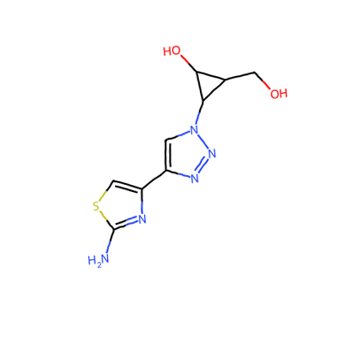 Nc1nc(-c2cn(C3C(O)C3CO)nn2)cs1